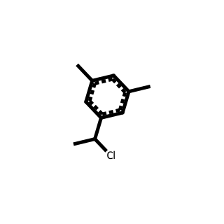 Cc1cc(C)cc(C(C)Cl)c1